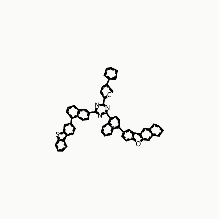 c1ccc(-c2ccc(-c3nc(-c4ccc5c(-c6ccc7c(c6)sc6ccccc67)cccc5c4)nc(-c4ccc(-c5ccc6oc7cc8ccccc8cc7c6c5)c5ccccc45)n3)cc2)cc1